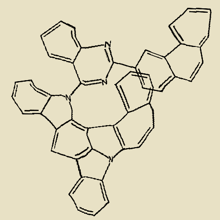 c1ccc2c(c1)ccc1ccc(-c3nc(-n4c5ccccc5c5cc6c7ccccc7n7c8ccc9ccccc9c8c(c54)c67)c4ccccc4n3)cc12